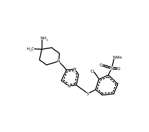 CNS(=O)(=O)c1cccc(Sc2cnc(N3CCC(C)(N)CC3)cn2)c1Cl